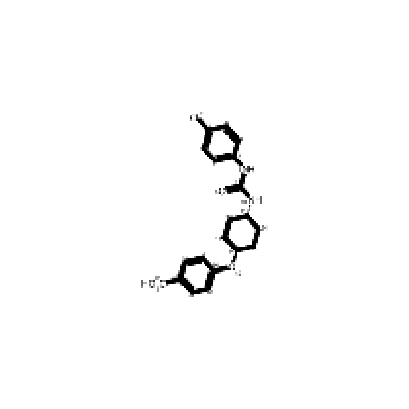 O=C(Nc1ccc(Cl)cc1)N[C@H]1CC[C@H](Oc2ccc(C(=O)O)cc2)CC1